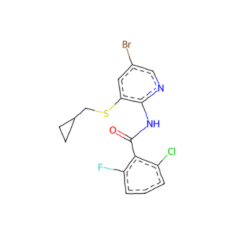 O=C(Nc1ncc(Br)cc1SCC1CC1)c1c(F)cccc1Cl